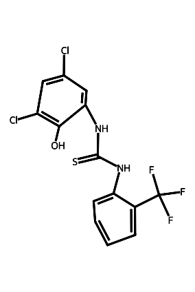 Oc1c(Cl)cc(Cl)cc1NC(=S)Nc1ccccc1C(F)(F)F